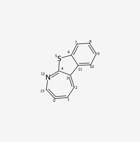 C1=CC=c2c(sc3ccccc23)=NC=1